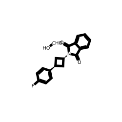 O=C1c2ccccc2C(=O)N1[C@H]1C[C@H](c2ccc(F)cc2)C1.O=CO